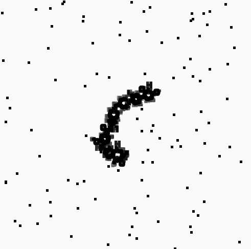 COc1cc(C(=O)NC2CC3(CCN(CC4CCN(c5ccc(C6CCC(=O)NC6=O)cc5F)CC4)CC3)C2)ccc1Nc1ncc2c(n1)NCC(F)(F)C(=O)N2C